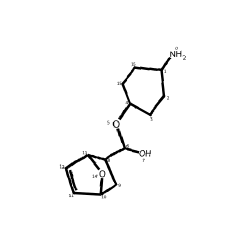 NC1CCC(OC(O)C2CC3C=CC2O3)CC1